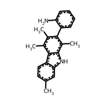 Cc1ccc2c(c1)[nH]c1c(C)c(-c3ccccc3N)c(C)c(C)c12